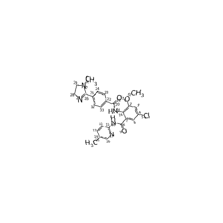 COc1cc(Cl)cc(C(=O)Nc2ccc(C)cn2)c1NC(=O)c1ccc(C2=NCCN2C)cc1